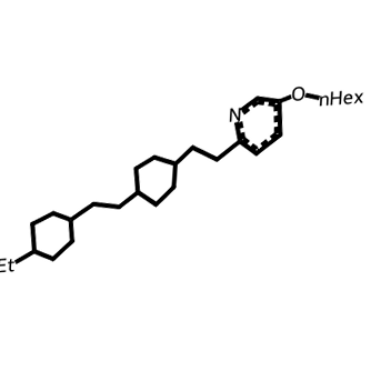 CCCCCCOc1ccc(CCC2CCC(CCC3CCC(CC)CC3)CC2)nc1